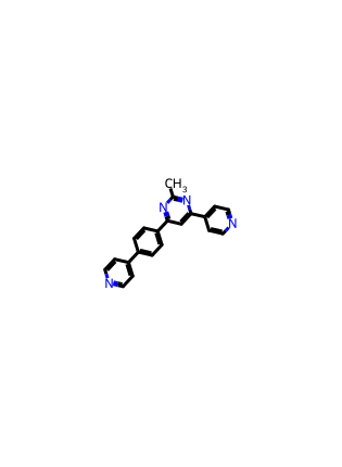 Cc1nc(-c2ccncc2)cc(-c2ccc(-c3ccncc3)cc2)n1